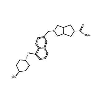 COC(=O)C1CC2CN(Cc3ccc4c(O[C@H]5CC[C@H](C(C)(C)C)CC5)cccc4c3)CC2C1